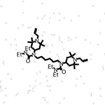 C=CCN1C(C)(C)CC(N(CCCCCCN(C(=O)N(CC)CC)C2CC(C)(C)N(CC=C)C(C)(C)C2)C(=O)N(CC)CC)CC1(C)C